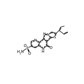 C=C/C(=C\C)c1cn2nc3c4ncc(S(N)(=O)=O)cc4[nH]c(=O)c3c2s1